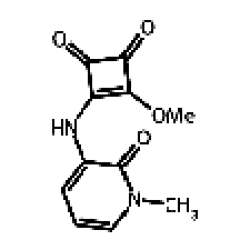 COc1c(Nc2cccn(C)c2=O)c(=O)c1=O